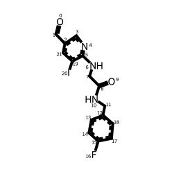 O=Cc1cnc(NCC(=O)NCc2ccc(F)cc2)c(I)c1